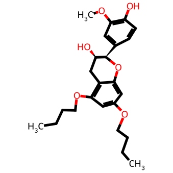 CCCCOc1cc(OCCCC)c2c(c1)O[C@H](c1ccc(O)c(OC)c1)[C@H](O)C2